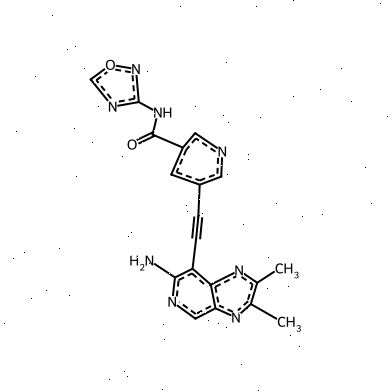 Cc1nc2cnc(N)c(C#Cc3cncc(C(=O)Nc4ncon4)c3)c2nc1C